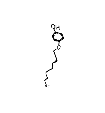 CC(=O)CCCCCCCOc1ccc(O)cc1